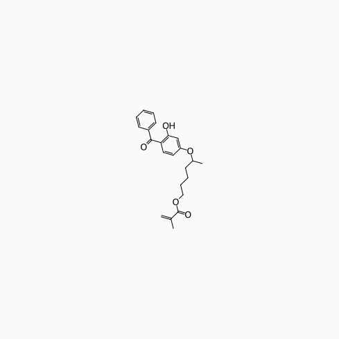 C=C(C)C(=O)OCCCCC(C)Oc1ccc(C(=O)c2ccccc2)c(O)c1